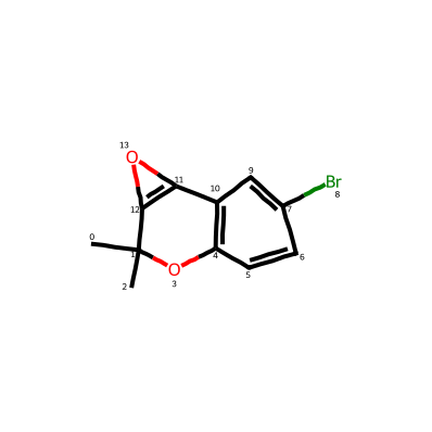 CC1(C)Oc2ccc(Br)cc2C2=C1O2